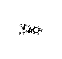 CCC(C)[S+]([O-])NC(C[N+](=O)[O-])c1ccc(F)cc1